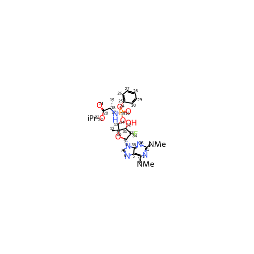 CNc1nc(NC)c2ncn([C@@H]3O[C@](C)(CO[P@@](=O)(N[C@@H](C)C(=O)OC(C)C)Oc4ccccc4)[C@@H](O)[C@H]3F)c2n1